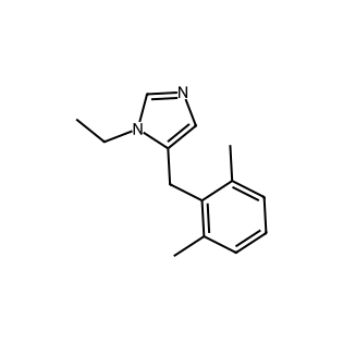 CCn1cncc1Cc1c(C)cccc1C